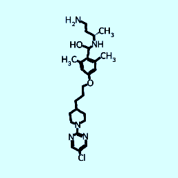 Cc1cc(OCCCC2CCN(c3ncc(Cl)cn3)CC2)cc(C)c1C(O)N[C@@H](C)CCN